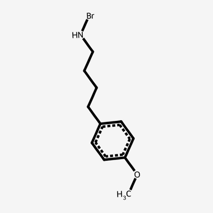 COc1ccc(CCCCNBr)cc1